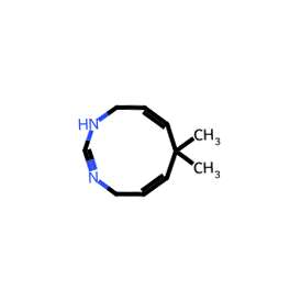 CC1(C)/C=C\C/N=C\NC/C=C\1